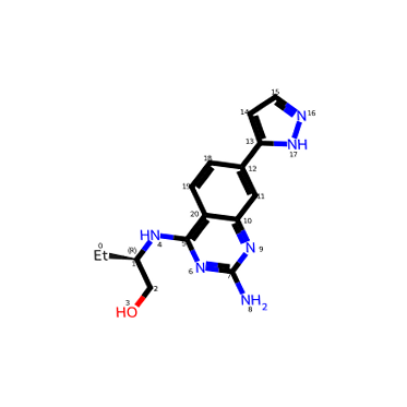 CC[C@H](CO)Nc1nc(N)nc2cc(-c3ccn[nH]3)ccc12